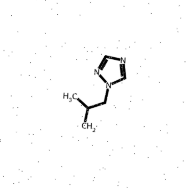 [CH2]C(C)Cn1cncn1